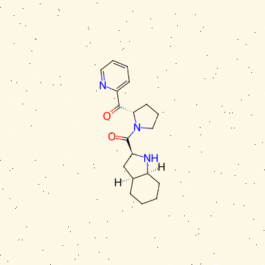 O=C(c1ccccn1)[C@@H]1CCCN1C(=O)[C@@H]1C[C@@H]2CCCC[C@@H]2N1